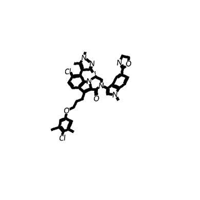 Cc1cc(OCCCc2c3n(c4c(-c5c(C)nn(C)c5C)c(Cl)ccc24)[C@H](C)CN(c2cn(C)c4ccc(C5=NCCO5)cc24)C3=O)cc(C)c1Cl